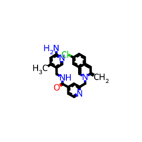 C=C1C=c2ccc(Cl)cc2=CN1Cc1cc(C(=O)NCc2cnc(N)cc2C)ccn1